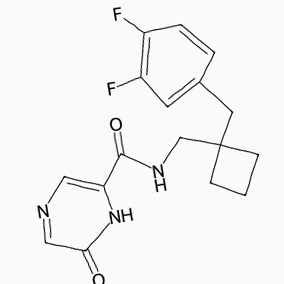 O=C(NCC1(Cc2ccc(F)c(F)c2)CCC1)c1cncc(=O)[nH]1